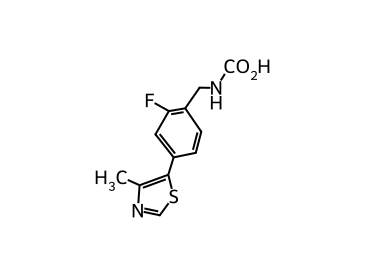 Cc1ncsc1-c1ccc(CNC(=O)O)c(F)c1